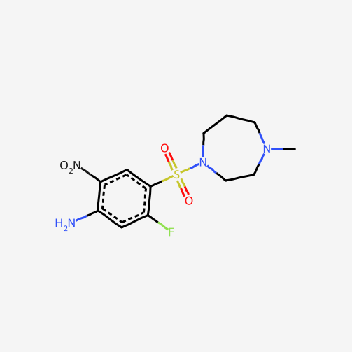 CN1CCCN(S(=O)(=O)c2cc([N+](=O)[O-])c(N)cc2F)CC1